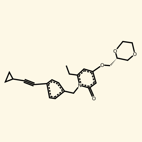 CCc1cc(OC[C@H]2COCCO2)cc(=O)n1Cc1ccc(C#CC2CC2)cc1